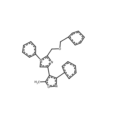 Cc1onc(-c2ccccc2)c1-c1cn(-c2ccccc2)c(COCc2ccccc2)n1